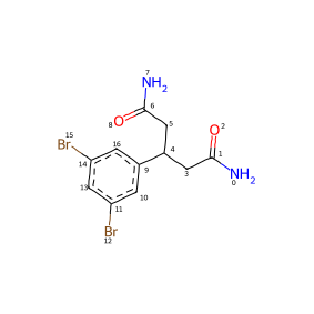 NC(=O)CC(CC(N)=O)c1cc(Br)cc(Br)c1